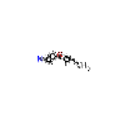 CCCCc1ccc(CC(=O)c2ccc3cc(C#N)ccc3c2)cc1